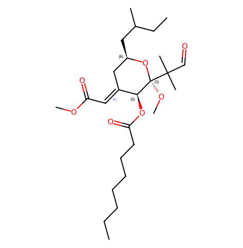 CCCCCCCC(=O)O[C@H]1/C(=C/C(=O)OC)C[C@@H](CC(C)CC)O[C@@]1(OC)C(C)(C)C=O